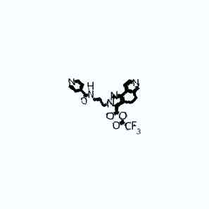 O=C(NCCCn1nc2c(c1C(=O)OC(=O)C(F)(F)F)CCc1cnccc1-2)c1ccncc1